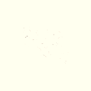 Cc1cccc2c1c(Cc1c(-c3ccc4ccccc4c3C(=O)O)nc3ccccn13)cn2CCC(O)CO